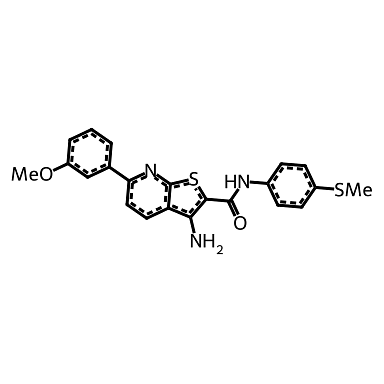 COc1cccc(-c2ccc3c(N)c(C(=O)Nc4ccc(SC)cc4)sc3n2)c1